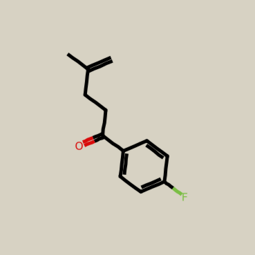 C=C(C)CCC(=O)c1ccc(F)cc1